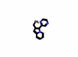 CCc1cc2ccccn2c1-c1cnccn1